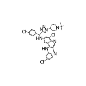 CC(C)(C)N1CCC(n2cc(C(Nc3cc(Cl)c4ncc(C#N)c(Nc5cccc(Cl)c5)c4c3)c3ccc(Cl)cc3)nn2)CC1